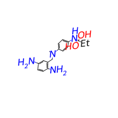 CCC(O)(O)Nc1ccc(N(C)Cc2cc(N)ccc2N)cc1